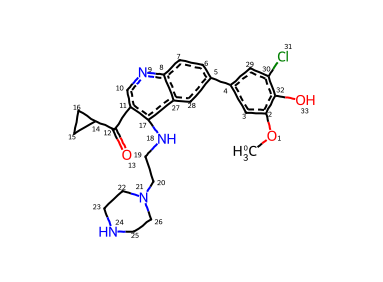 COc1cc(-c2ccc3ncc(C(=O)C4CC4)c(NCCN4CCNCC4)c3c2)cc(Cl)c1O